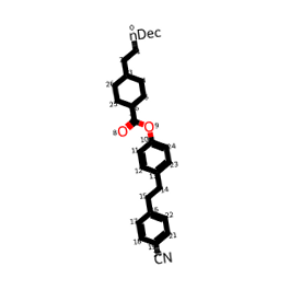 CCCCCCCCCCCCC1CCC(C(=O)Oc2ccc(CCc3ccc(C#N)cc3)cc2)CC1